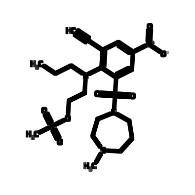 C#Cc1cc([N+](=O)[O-])cc(S(=O)(=O)N2CCCN(C)CC2)c1N(CCC)CCOS(C)(=O)=O